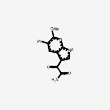 COc1nc2[nH]cc(C(=O)C(N)=O)c2cc1C(C)C